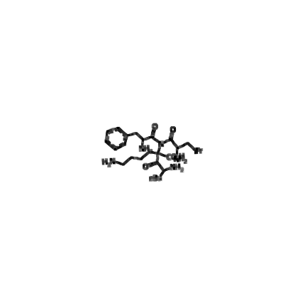 CCCCC(N)C(=O)C(CCCCN)(C(=O)O)N(C(=O)C(N)Cc1ccccc1)C(=O)C(N)CC(C)C